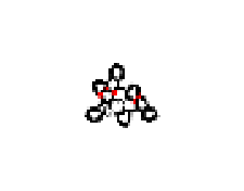 c1ccc(N(c2ccccc2-c2cc3ccccc3c3ccccc23)c2cccc3c2oc2ccccc23)c(-c2cccc3ccccc23)c1